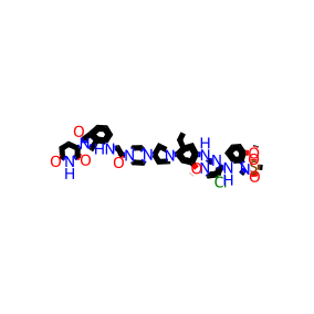 CCc1cc(Nc2ncc(Cl)c(Nc3cccc(OC)c3N(C)S(C)(=O)=O)n2)c(OC)cc1N1CCC(N2CCN(C(=O)CNc3cccc4c3CN(C3CCC(=O)NC3=O)C4=O)CC2)CC1